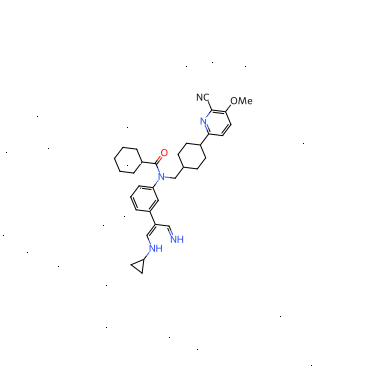 COc1ccc(C2CCC(CN(C(=O)C3CCCCC3)c3cccc(/C(C=N)=C/NC4CC4)c3)CC2)nc1C#N